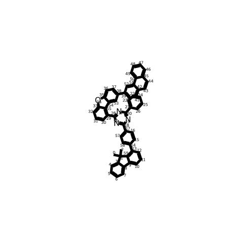 CC1(C)c2ccccc2-c2cccc(-c3ccc(-c4nc(-c5ccccc5)nc(-c5cccc6oc7ccc(-c8ccc9ccc%10ccccc%10c9c8)cc7c56)n4)cc3)c21